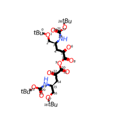 CC(C)(C)OC[C@H](CC(=O)C(=O)OC(=O)C(=O)C[C@@H](COC(C)(C)C)NC(=O)OC(C)(C)C)NC(=O)OC(C)(C)C